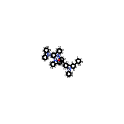 c1ccc(-c2ccc3c(c2)c2cc(-c4ccc(-n5c6ccccc6c6cc(-n7c8ccccc8c8ccccc87)cc(-n7c8ccccc8c8ccccc87)c65)cc4)ccc2n3-c2ccccc2)cc1